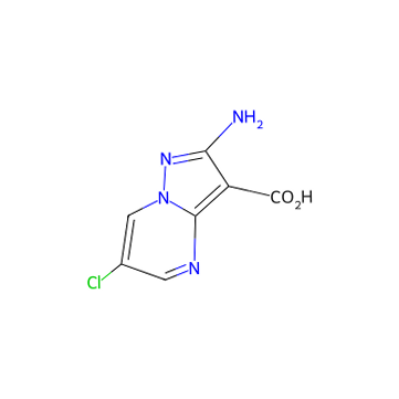 Nc1nn2cc(Cl)cnc2c1C(=O)O